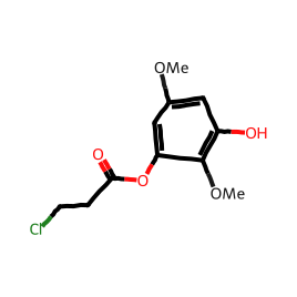 COc1cc(O)c(OC)c(OC(=O)CCCl)c1